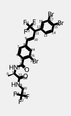 C[C@@H](NC(=O)c1ccc(/C=C/C(c2ccc(Br)c(Br)c2)C(F)(F)F)cc1Br)C(=O)NCC(F)(F)F